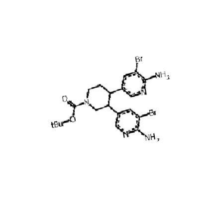 CC(C)(C)OC(=O)N1CCC(c2cnc(N)c(Br)c2)C(c2cnc(N)c(Br)c2)C1